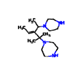 C/C=C(\C(C)N1CCNCC1)C(C)(C)N1CCNCC1